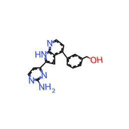 Nc1nccc(-c2cc3c(-c4cccc(CO)c4)ccnc3[nH]2)n1